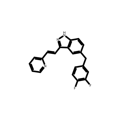 Fc1ccc(Cc2ccc3[nH]nc(/C=C/c4ccccn4)c3c2)cc1F